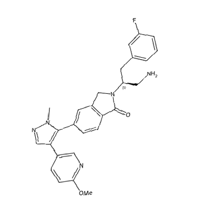 COc1ccc(-c2cnn(C)c2-c2ccc3c(c2)CN([C@H](CN)Cc2cccc(F)c2)C3=O)cn1